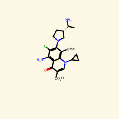 COc1c(N2CC[C@H](C(C)N)C2)c(F)c(N)c2c(=O)c(C(=O)O)cn(C3CC3)c12